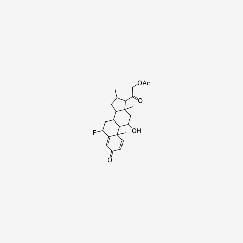 CC(=O)OCC(=O)C1C(C)CC2C3CC(F)C4=CC(=O)C=CC4(C)C3C(O)CC21C